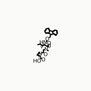 CC[C@H](C)[C@H](NC(=O)OCC1c2ccccc2-c2ccccc21)C(=O)N(C)CC(=O)N1CC[C@H]1C(=O)O